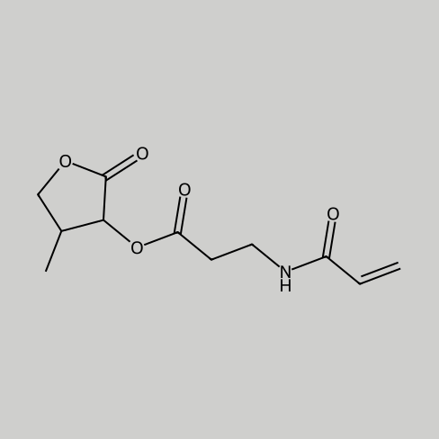 C=CC(=O)NCCC(=O)OC1C(=O)OCC1C